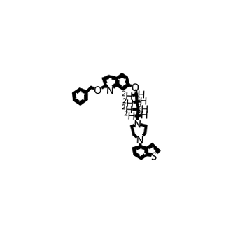 [2H]C([2H])(Oc1ccc2ccc(OCc3ccccc3)nc2c1)C([2H])([2H])C([2H])([2H])C([2H])([2H])N1CCN(c2cccc3sccc23)CC1